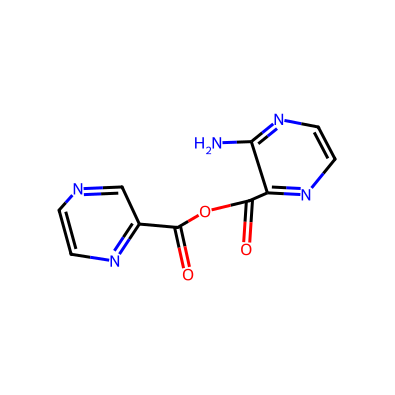 Nc1nccnc1C(=O)OC(=O)c1cnccn1